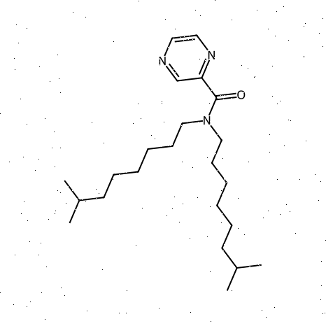 CC(C)CCCCCCN(CCCCCCC(C)C)C(=O)c1cnccn1